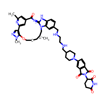 Cc1cc2cc(n1)-c1cnn(C)c1OCCC[C@@H](C)CN1/C(=N/C2=O)Nc2ccc(CNCCNCC3CCN(c4ccc5c(c4)C(=O)N(C4CCC(=O)NC4=O)C5=O)CC3)cc21